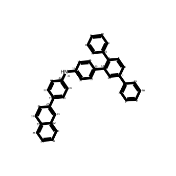 c1ccc(-c2ccc(-c3ccccc3)c(-c3ccc(Nc4ccc(-c5ccc6ccccc6c5)cc4)cc3)c2)cc1